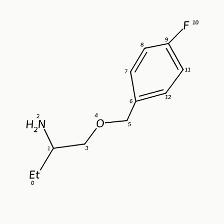 CCC(N)COCc1ccc(F)cc1